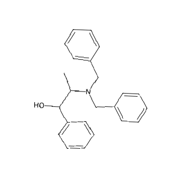 CC(C(O)c1ccccc1)N(Cc1ccccc1)Cc1ccccc1